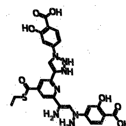 CCSC(=O)c1cc(C2=CN(c3ccc(C(=O)O)c(O)c3)NN2)nc(/C(N)=C/N(N)c2ccc(C(=O)O)c(O)c2)c1